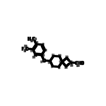 Cc1ccc(OC2CCC3(CC2)CN(C=O)C3)nc1C(F)(F)F